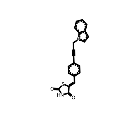 O=C1NC(=O)C(=Cc2ccc(C#CCn3ccc4ccccc43)cc2)S1